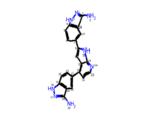 Nc1n[nH]c2ccc(-c3cc4c(-c5ccc6[nH]nc(N)c6c5)ccnc4[nH]3)cc12